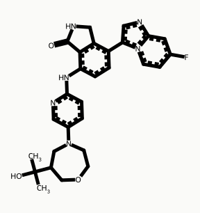 CC(C)(O)C1COCCN(c2ccc(Nc3ccc(-c4cnc5cc(F)ccn45)c4c3C(=O)NC4)nc2)C1